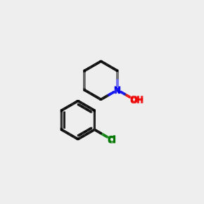 Clc1ccccc1.ON1CCCCC1